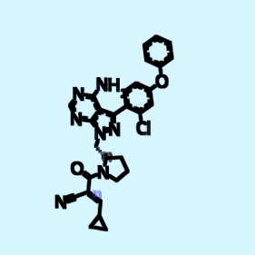 N#C/C(=C\C1CC1)C(=O)N1CCC[C@H]1Cn1nc(-c2ccc(Oc3ccccc3)cc2Cl)c2c(N)ncnc21